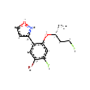 O=C(O)[C@H](CCF)Oc1cc(F)c(Br)cc1-c1ccon1